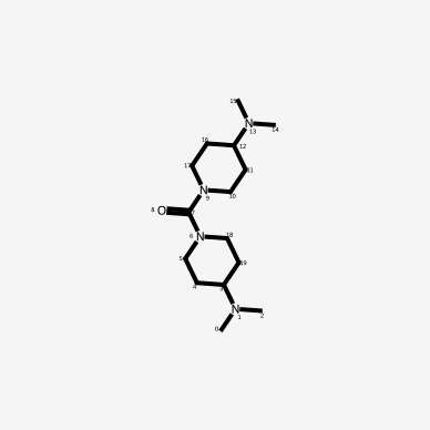 CN(C)C1CCN(C(=O)N2CCC(N(C)C)CC2)CC1